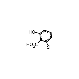 O=C(O)c1c(O)cccc1S